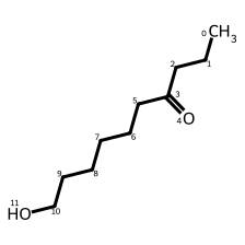 CCCC(=O)CCCCCCO